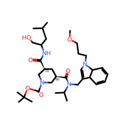 COCCCN1C=C(CN(C(=O)[C@@H]2C[C@H](C(=O)NC(CO)CC(C)C)CN(C(=O)OC(C)(C)C)C2)C(C)C)C2C=CC=CC21